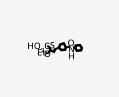 CCOc1cc(-c2ccc(C(=O)Nc3ccccc3)cc2)sc1C(=O)O